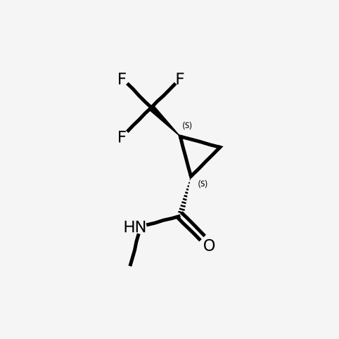 CNC(=O)[C@H]1C[C@@H]1C(F)(F)F